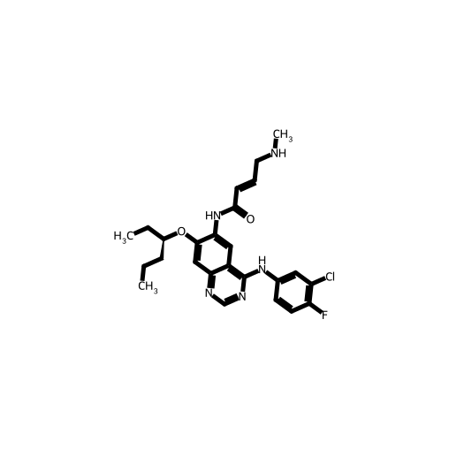 CCC[C@@H](CC)Oc1cc2ncnc(Nc3ccc(F)c(Cl)c3)c2cc1NC(=O)/C=C/CNC